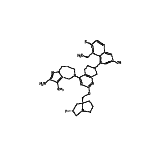 CCc1c(F)ccc2cc(O)cc(N3CCc4c(nc(OC[C@@]56CCCN5C[C@H](F)C6)nc4N4CCCn5nc(N)c(C)c5C4)C3)c12